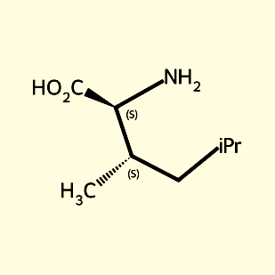 CC(C)C[C@H](C)[C@H](N)C(=O)O